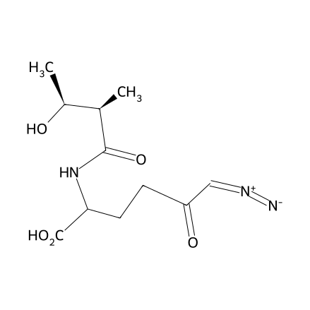 C[C@H](O)[C@@H](C)C(=O)NC(CCC(=O)C=[N+]=[N-])C(=O)O